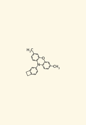 Cc1ccc2c(c1)Oc1cc(C)ccc1N2c1ccc2c(c1)CC2